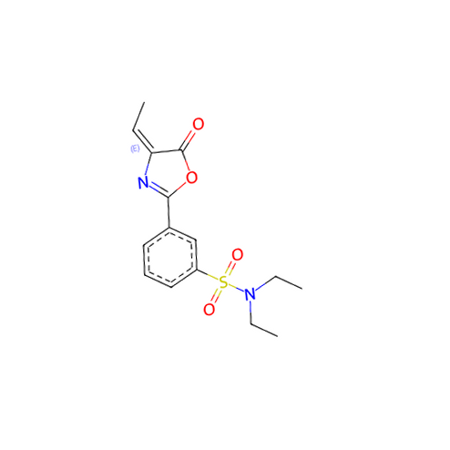 C/C=C1/N=C(c2cccc(S(=O)(=O)N(CC)CC)c2)OC1=O